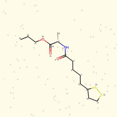 [CH2][C@H](NC(=O)CCCCC1CCSS1)C(=O)OCCC